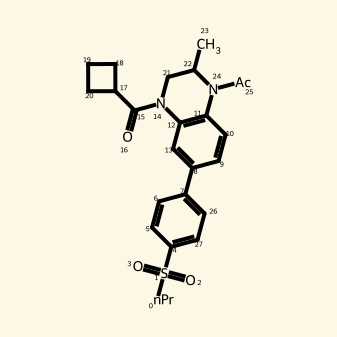 CCCS(=O)(=O)c1ccc(-c2ccc3c(c2)N(C(=O)C2CCC2)CC(C)N3C(C)=O)cc1